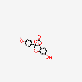 COc1ccc(C2(OC(C)=O)COc3cc(O)ccc3C2=O)cc1